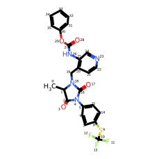 CC1C(=O)N(c2ccc(SC(F)(F)F)cc2)C(=O)N1Cc1ccncc1NC(=O)Oc1ccccc1